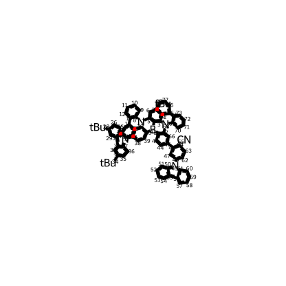 CC(C)(C)c1cc2c3c(c1)N(c1ccccc1-c1ccccc1)c1cc(-n4c5ccc(C(C)(C)C)cc5c5cc(C(C)(C)C)ccc54)ccc1B3c1ccc(-c3cc(-n4c5ccccc5c5ccccc54)ccc3C#N)cc1N2c1ccccc1-c1ccccc1